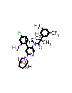 Cc1cc(F)ccc1-c1cc(N2C[C@H]3CC[C@@H](C2)O3)ncc1N(C)C(=O)C(C)(C)c1cc(C(F)(F)F)cc(C(F)(F)F)c1